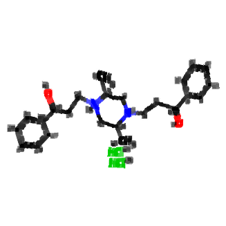 CC1CN(CCC(=O)c2ccccc2)C(C)CN1CCC(=O)c1ccccc1.Cl.Cl